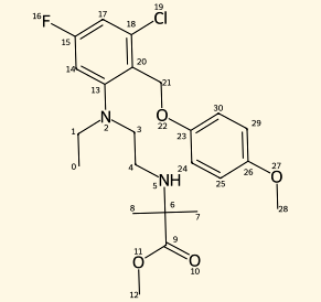 CCN(CCNC(C)(C)C(=O)OC)c1cc(F)cc(Cl)c1COc1ccc(OC)cc1